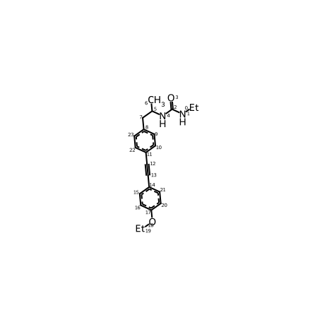 CCNC(=O)NC(C)Cc1ccc(C#Cc2ccc(OCC)cc2)cc1